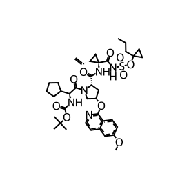 C=C[C@@H]1C[C@]1(NC(=O)[C@@H]1C[C@@H](Oc2nccc3cc(OC)ccc23)CN1C(=O)[C@@H](NC(=O)OC(C)(C)C)C1CCCC1)C(=O)NS(=O)(=O)OC1(CCC)CC1